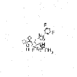 CC[S+]([O-])NC1C(Cc2csc(-c3cc(F)cc(F)c3)n2)N(C(=O)C2(O)CCC2)CC1(F)F